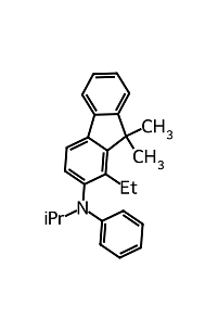 CCc1c(N(c2ccccc2)C(C)C)ccc2c1C(C)(C)c1ccccc1-2